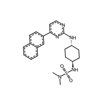 CN(C)S(=O)(=O)N[C@H]1CC[C@H](Nc2nccc(-c3ccc4ccccc4c3)n2)CC1